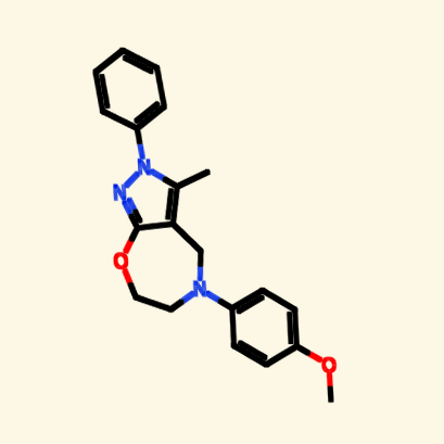 COc1ccc(N2CCOc3nn(-c4ccccc4)c(C)c3C2)cc1